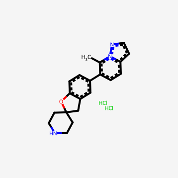 Cc1c(-c2ccc3c(c2)CC2(CCNCC2)O3)ccc2ccnn12.Cl.Cl